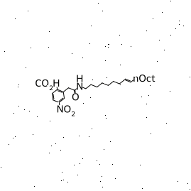 CCCCCCCCC=CCCCCCCCNC(=O)Cc1cc([N+](=O)[O-])ccc1C(=O)O